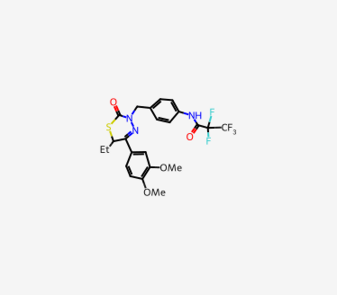 CCC1SC(=O)N(Cc2ccc(NC(=O)C(F)(F)C(F)(F)F)cc2)N=C1c1ccc(OC)c(OC)c1